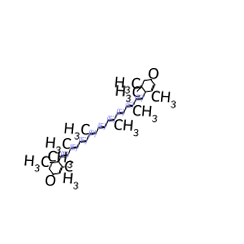 CC1=CC(=O)CC(C)(C)C1/C=C/C(C)=C/C=C/C(C)=C/C=C/C=C(C)/C=C/C=C(C)/C=C/C1C(C)=CC(=O)CC1(C)C